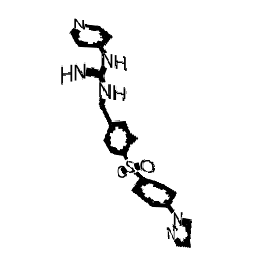 N=C(NCc1ccc(S(=O)(=O)c2ccc(-n3cccn3)cc2)cc1)Nc1ccncc1